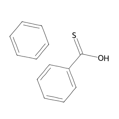 OC(=S)c1ccccc1.c1ccccc1